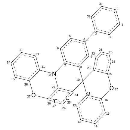 c1ccc(-c2ccc3c(c2)C2(c4ccccc4Oc4ccccc42)c2cccc4c2N3c2ccccc2O4)cc1